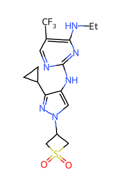 CCNc1nc(Nc2cn(C3CS(=O)(=O)C3)nc2C2CC2)ncc1C(F)(F)F